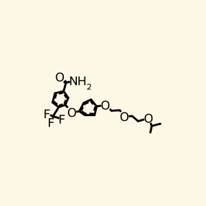 CC(C)OCCOCCOc1ccc(Oc2cc(C(N)=O)ccc2C(F)(F)F)cc1